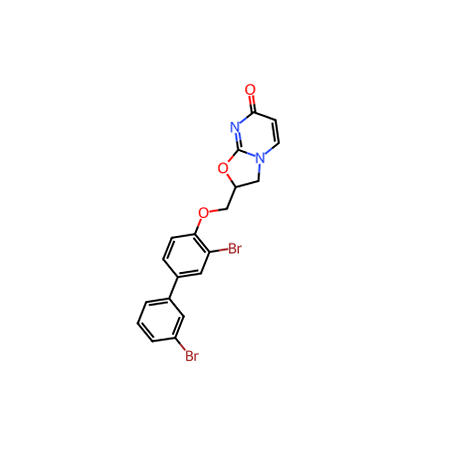 O=c1ccn2c(n1)OC(COc1ccc(-c3cccc(Br)c3)cc1Br)C2